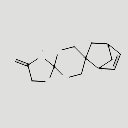 C=C1COC2(OCC3(CO2)CC2C=CC3C2)O1